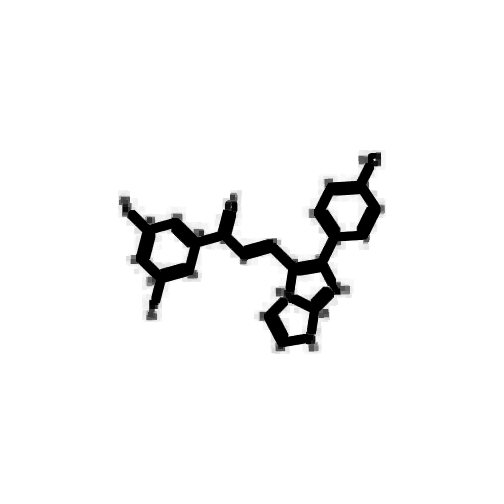 O=C(C=Cc1c(-c2ccc(Cl)cc2)nc2sccn12)c1cc(F)cc(F)c1